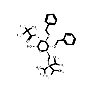 CC(C)[Si](OC[C@H]1O[C@H](O)[C@H](OC(=O)C(C)(C)C)[C@@H](OCc2ccccc2)[C@@H]1OCc1ccccc1)(C(C)C)C(C)C